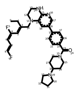 CC\C(=C/C(F)=C\C=C\F)CN1CCNc2ncc(-c3ccc(C(=O)N4CCC(N5CCCC5)CC4)cc3)cc21